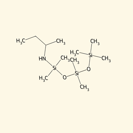 CCC(C)N[Si](C)(C)O[Si](C)(C)O[Si](C)(C)C